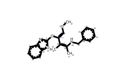 CO/C=C(Oc1nc2ccccc2o1)/C(C)=C(/C)NCc1ccccc1